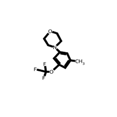 Cc1cc(OC(F)(F)F)cc(N2CCOCC2)c1